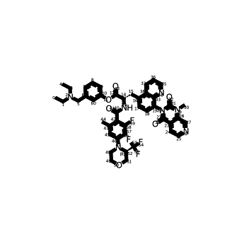 CCN(CC)Cc1cccc(OC(=O)[C@H](Cc2ccc(-n3c(=O)c4ccncc4n(C)c3=O)c3ncccc23)NC(=O)c2c(C)cc(N3CCOC[C@@H]3C(F)(F)F)cc2F)c1